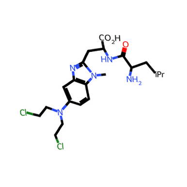 CC(C)CC(N)C(=O)NC(Cc1nc2cc(N(CCCl)CCCl)ccc2n1C)C(=O)O